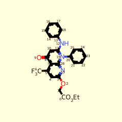 CCOC(=O)COc1cc(C(F)(F)F)c2c(=O)cc(Nc3ccccc3)n(-c3ccccc3)c2n1